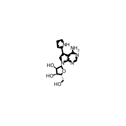 Nc1ncnc2c1c(-c1ccc[nH]1)cn2[C@@H]1O[C@H](CO)[C@@H](O)[C@H]1O